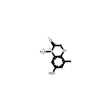 Cc1cc(O)cc2c1OCC(=O)N2N